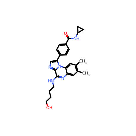 Cc1cc2nc(NCCCCO)c3ncc(-c4ccc(C(=O)NC5CC5)cc4)n3c2cc1C